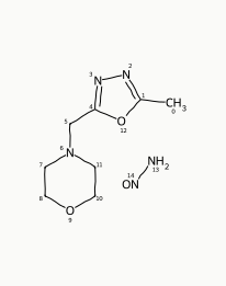 Cc1nnc(CN2CCOCC2)o1.NN=O